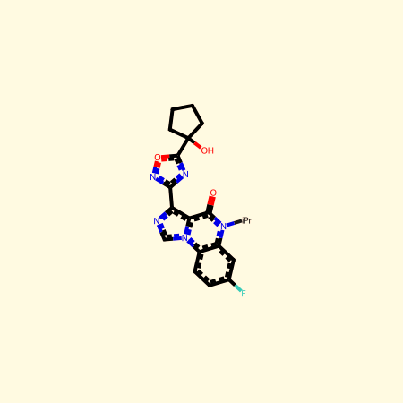 CC(C)n1c(=O)c2c(-c3noc(C4(O)CCCC4)n3)ncn2c2ccc(F)cc21